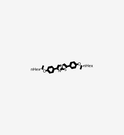 CCCCCC[C@H](C)Oc1ccc(-c2cn3cc(-c4ccc(O[C@@H](C)CCCCCC)cc4)sc3n2)cc1